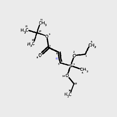 CCO[Si](C)(/C=C/C(=O)OC(C)(C)C)OCC